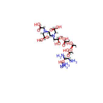 CC(=O)O.CC(=O)O.CC(=O)O.N.N.NCC(N)O.O=C(O)CN(CCN(CC(=O)O)CC(=O)O)CC(=O)O